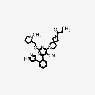 C=CC(=O)N1CC2(CCN(c3nc(OCC4CCCN4C)nc(-c4ccccc4-c4cn[nH]c4)c3C#N)C2)C1